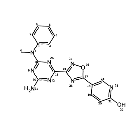 CN(c1ccccc1)c1nc(N)nc(-c2noc(-c3ccc(O)nc3)n2)n1